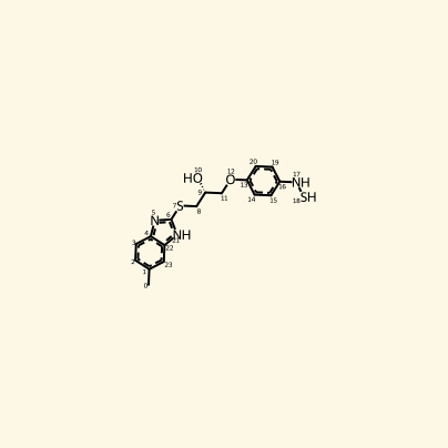 Cc1ccc2nc(SC[C@H](O)COc3ccc(NS)cc3)[nH]c2c1